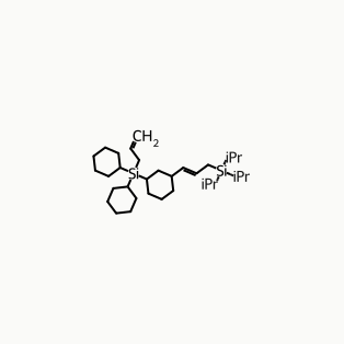 C=CC[Si](C1CCCCC1)(C1CCCCC1)C1CCCC(C=CC[Si](C(C)C)(C(C)C)C(C)C)C1